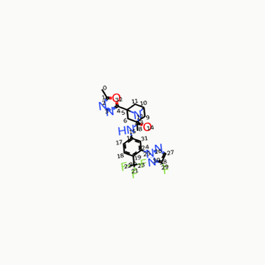 Cc1nnc(C23CC(C)CC(C2)N3C(=O)Nc2ccc(C(F)(F)F)c(-n3ncc(F)n3)c2)o1